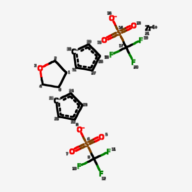 C1CCOC1.O=S(=O)([O-])C(F)(F)F.O=S(=O)([O-])C(F)(F)F.[Zr+4].c1cc[cH-]c1.c1cc[cH-]c1